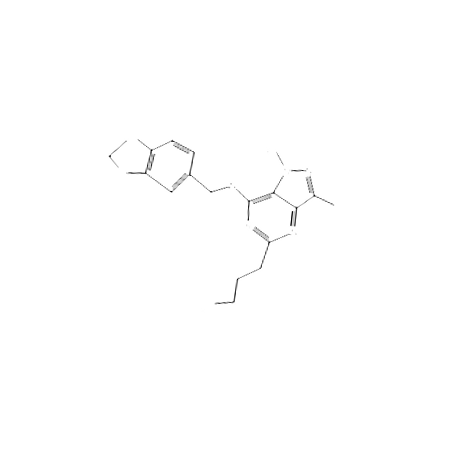 CCCc1nn(C)c2c(NCc3ccc4c(c3)OCO4)nc(CCCC(=O)O)nc12